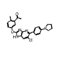 CC(=O)c1cc(Oc2nc3nc(-c4ccc(N5CCCC5)cc4)c(Cl)cc3[nH]2)ccc1C